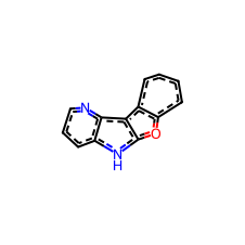 c1cnc2c(c1)[nH]c1oc3ccccc3c12